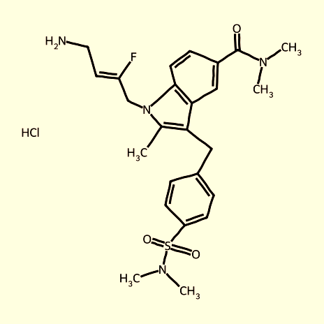 Cc1c(Cc2ccc(S(=O)(=O)N(C)C)cc2)c2cc(C(=O)N(C)C)ccc2n1CC(F)=CCN.Cl